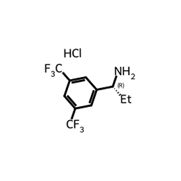 CC[C@@H](N)c1cc(C(F)(F)F)cc(C(F)(F)F)c1.Cl